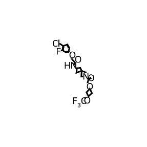 O=C(COc1ccc(Cl)c(F)c1)NC1CC2(C1)CN(C(=O)CO[C@H]1C[C@H](OC(F)(F)F)C1)C2